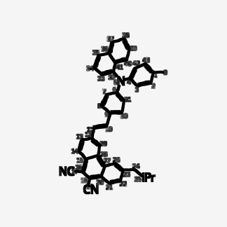 Cc1ccc(N(c2ccc(C=Cc3ccc4c(C#N)c(C#N)c5ccc(CC(C)C)cc5c4c3)cc2)c2cccc3ccccc23)cc1